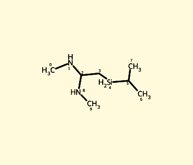 CNC(C[SiH2]C(C)C)NC